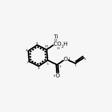 C=COC(=O)c1ccccc1C(=O)O.[Ti]